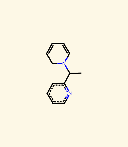 CC(c1ccccn1)N1C=CC=CC1